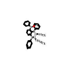 CCCCCCON(c1ccccc1)c1cccc(N(OCCCCCC)c2ccccc2)c1N(OCCCCCC)c1ccccc1